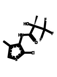 Cc1csc(Cl)c1NC(=O)[C@@](C)(O)C(F)(F)F